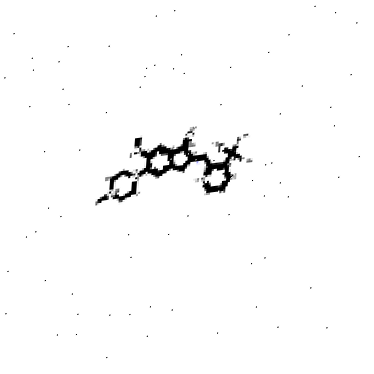 COc1cc2c(cc1N1CCN(C)CC1)C/C(=C\c1ncccc1C(F)(F)F)C2=O